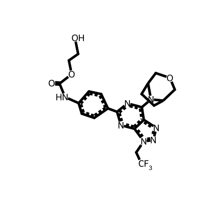 O=C(Nc1ccc(-c2nc(N3C4CCC3COC4)c3nnn(CC(F)(F)F)c3n2)cc1)OCCO